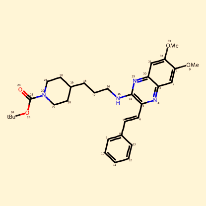 COc1cc2nc(C=Cc3ccccc3)c(NCCCC3CCN(C(=O)OC(C)(C)C)CC3)nc2cc1OC